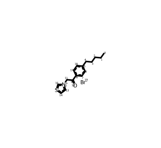 CCCCCc1ccc(C(=O)C[n+]2ccsc2)cc1.[Br-]